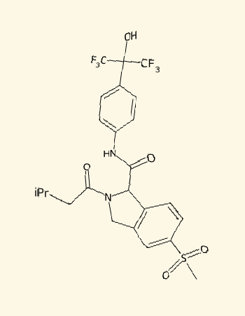 CC(C)CC(=O)N1Cc2cc(S(C)(=O)=O)ccc2C1C(=O)Nc1ccc(C(O)(C(F)(F)F)C(F)(F)F)cc1